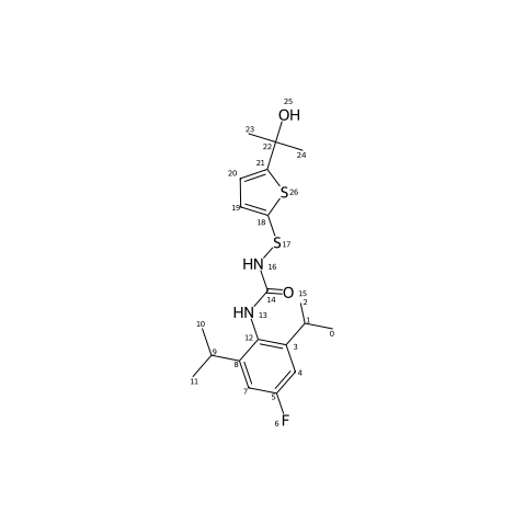 CC(C)c1cc(F)cc(C(C)C)c1NC(=O)NSc1ccc(C(C)(C)O)s1